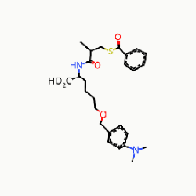 CC(CSC(=O)c1ccccc1)C(=O)N[C@@H](CCCCOCc1ccc(N(C)C)cc1)C(=O)O